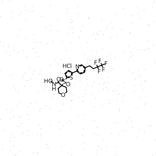 Cl.O=C(NO)C1(S(=O)(=O)c2ccc(-c3ccc(CCC(F)(F)C(F)(F)F)cn3)s2)CCOCC1